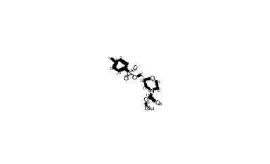 Cc1ccc(S(=O)(=O)OC[C@H]2CN(C(=O)OC(C)(C)C)CCO2)cc1